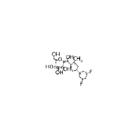 Cc1cc(-c2cc(F)cc(F)c2)ccc1[C@@H](O)[C@H]1O[C@H](CO)[C@@H](O)[C@H](O)[C@@H]1O